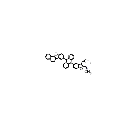 C=Cc1c(/C=C\C)oc2ccc(-c3c4ccccc4c(-c4ccc5oc6c7ccccc7ccc6c5c4)c4ccccc34)cc12